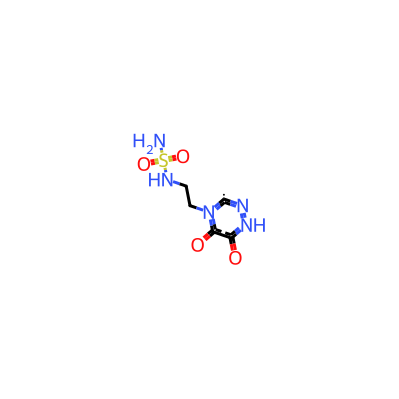 NS(=O)(=O)NCCn1[c]n[nH]c(=O)c1=O